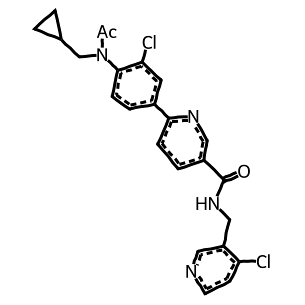 CC(=O)N(CC1CC1)c1ccc(-c2ccc(C(=O)NCc3cnccc3Cl)cn2)cc1Cl